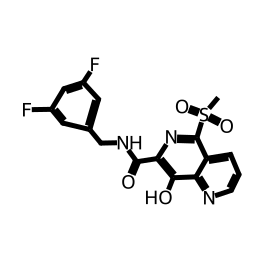 CS(=O)(=O)c1nc(C(=O)NCc2cc(F)cc(F)c2)c(O)c2ncccc12